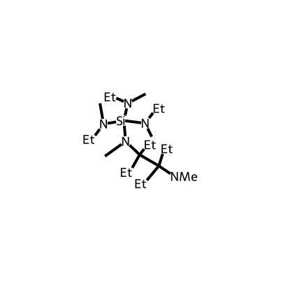 CCN(C)[Si](N(C)CC)(N(C)CC)N(C)C(CC)(CC)C(CC)(CC)NC